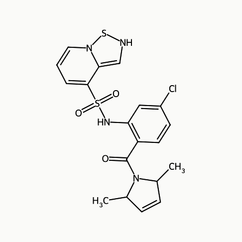 CC1C=CC(C)N1C(=O)c1ccc(Cl)cc1NS(=O)(=O)C1=CC=CN2SNC=C12